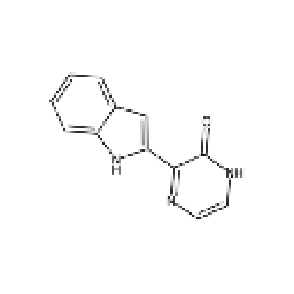 O=c1[nH]ccnc1-c1cc2ccccc2[nH]1